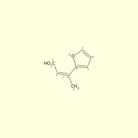 C/C(=C/C(=O)O)c1ccco1